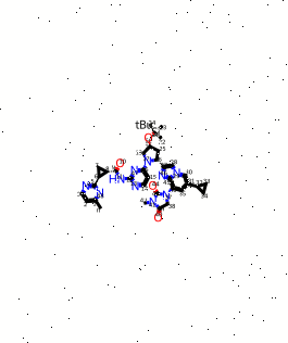 Cc1ccnc([C@H]2C[C@@H]2C(=O)Nc2nccc(N3C[C@@H](O[Si](C)(C)C(C)(C)C)C[C@@H]3c3cn4cc(C5CC5)cc(N5CC(=O)N(C)C5=O)c4n3)n2)n1